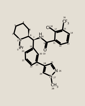 CC(C)N1CCCC[C@H]1[C@@H](NC(=O)c1cccc(C(F)(F)F)c1Cl)c1cccc(-c2cnn(C)c2)c1